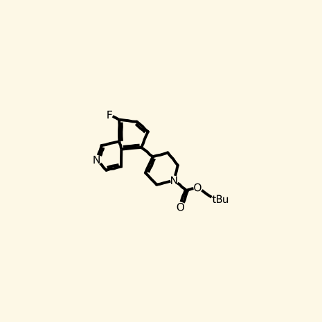 CC(C)(C)OC(=O)N1CC=C(c2ccc(F)c3cnccc23)CC1